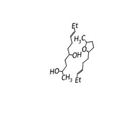 CCC=CCCC(O)CCC(C)O.CCC=CCCC1CCC(C)O1